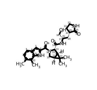 Cc1ccc2cc(C(=O)N3C[C@H]4[C@@H]([C@H]3C(=O)N[C@H](CO)C[C@@H]3CCNC3=O)C4(C)C)[nH]c2c1C